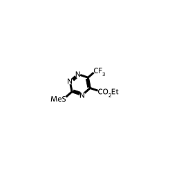 CCOC(=O)c1nc(SC)nnc1C(F)(F)F